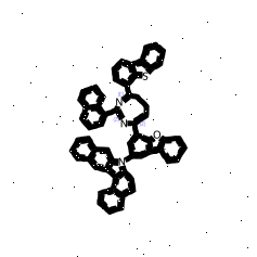 C1=C(c2cc(-n3c4cc5ccccc5cc4c4c5ccccc5ccc43)cc3c2oc2ccccc23)/N=C(c2cccc3ccccc23)\N=C(\c2cccc3c2sc2ccccc23)CC\1